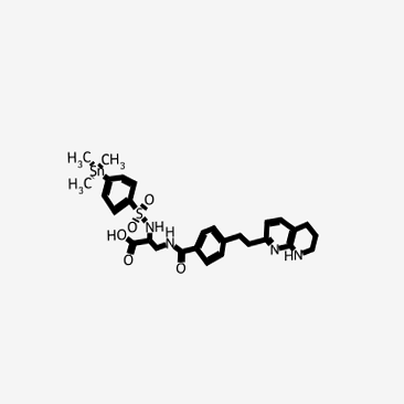 [CH3][Sn]([CH3])([CH3])[c]1ccc(S(=O)(=O)NC(CNC(=O)c2ccc(CCc3ccc4c(n3)NCCC4)cc2)C(=O)O)cc1